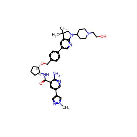 Cn1cc(-c2cnc(N)c(C(=O)N[C@H]3CCC[C@@H]3OCc3ccc(-c4cnc5c(c4)C(C)(C)CN5C4CCN(CCO)CC4)cc3)c2)cn1